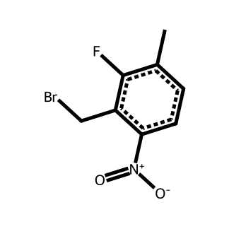 Cc1ccc([N+](=O)[O-])c(CBr)c1F